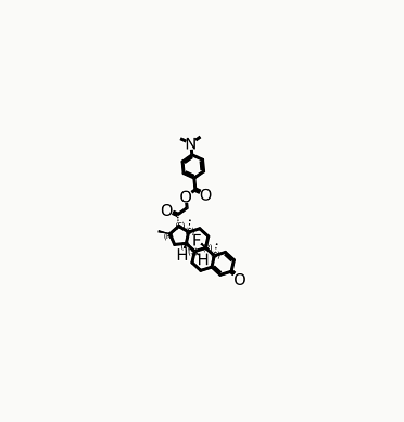 C[C@@H]1C[C@H]2[C@@H]3CCC4=CC(=O)C=C[C@]4(C)[C@@]3(F)CC[C@]2(C)[C@H]1C(=O)COC(=O)c1ccc(N(C)C)cc1